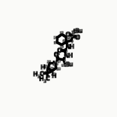 CC(C)(C)[C@H](NC(=O)NC1(CS(=O)(=O)C(C)(C)C)CCCCC1)C(=O)N1C[C@@H]2[C@H](C1)C2(C)C